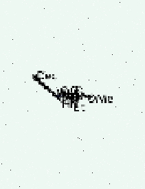 CCCCCCCCCCCCCCCCCCC/C(C)=N/S(=O)(=O)c1cc2c(s1)S(=O)(=O)N(CCCOC)C[C@@H]2NCC